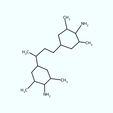 CC(CCC1CC(C)C(N)C(C)C1)C1CC(C)C(N)C(C)C1